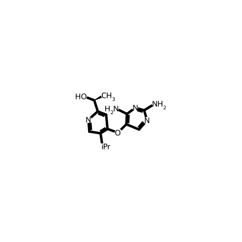 CC(C)c1cnc([C@H](C)O)cc1Oc1cnc(N)nc1N